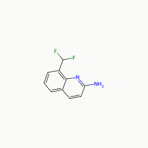 Nc1ccc2cccc(C(F)F)c2n1